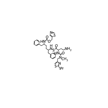 CC(C)c1nc(CN(C)C(=O)NC(CCN)C(=O)SNC(CCC(Cc2ccccc2)NC(=O)OCc2cncs2)Cc2ccccc2)cs1